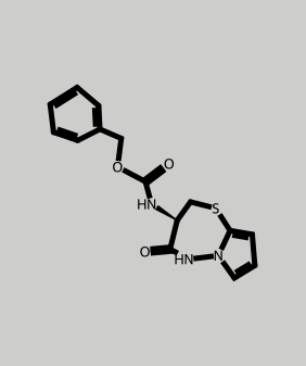 O=C(N[C@H]1CSc2cccn2NC1=O)OCc1ccccc1